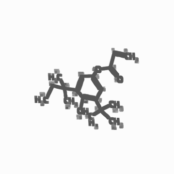 C=CC(=O)Oc1cc(C(C)(C)C)c(O)c(C(C)(C)CC)c1